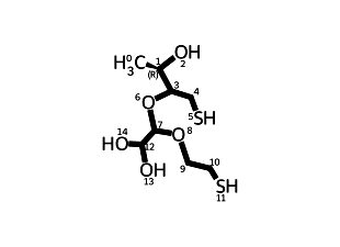 C[C@@H](O)C(CS)OC(OCCS)C(O)O